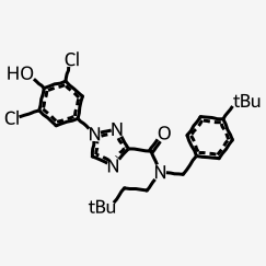 CC(C)(C)CCN(Cc1ccc(C(C)(C)C)cc1)C(=O)c1ncn(-c2cc(Cl)c(O)c(Cl)c2)n1